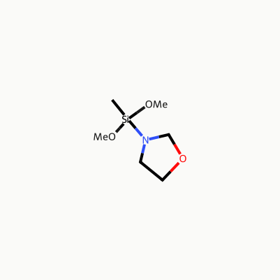 CO[Si](C)(OC)N1CCOC1